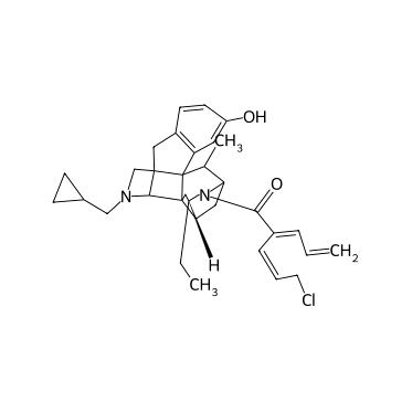 C=C/C=C(\C=C/CCl)C(=O)N1C[C@H](CC)CC23CCC1C(C)C21c2cc(O)ccc2CC12CN(CC1CC1)C32